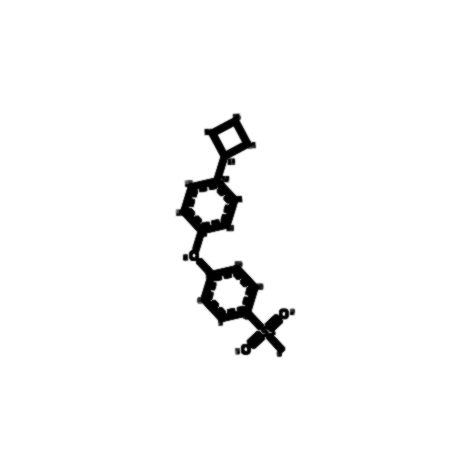 CS(=O)(=O)c1ccc(Oc2ccc(C3CCC3)cc2)cc1